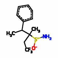 CC(c1ccccc1)C(C)(CC(F)(F)F)[S+](N)[O-]